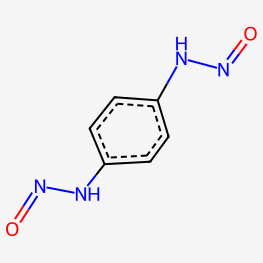 O=NNc1ccc(NN=O)cc1